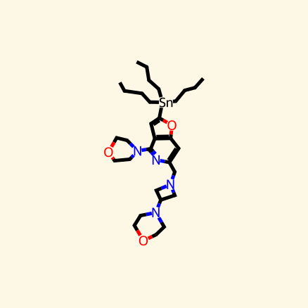 CCC[CH2][Sn]([CH2]CCC)([CH2]CCC)[c]1cc2c(N3CCOCC3)nc(CN3CC(N4CCOCC4)C3)cc2o1